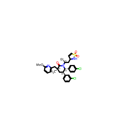 CC[C@@H](CC1C=CS(=O)(=O)N1)N1C(=O)[C@](C)(Cc2cccc(OC)n2)C[C@H](c2cccc(Cl)c2)[C@H]1c1ccc(Cl)cc1